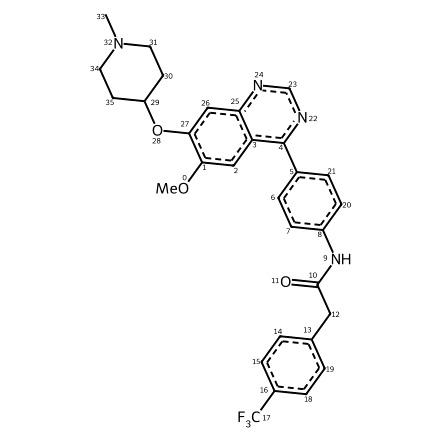 COc1cc2c(-c3ccc(NC(=O)Cc4ccc(C(F)(F)F)cc4)cc3)ncnc2cc1OC1CCN(C)CC1